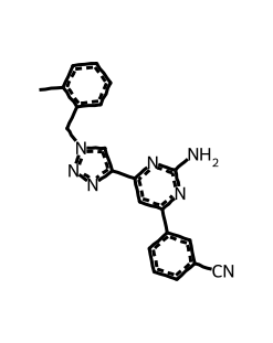 Cc1ccccc1Cn1cc(-c2cc(-c3cccc(C#N)c3)nc(N)n2)nn1